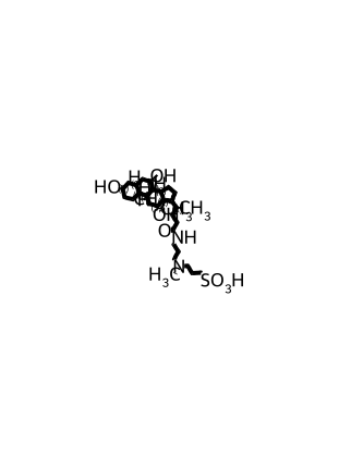 C[C@H](CCC(=O)NCCCN(C)CCCS(=O)(=O)O)C1CC[C@H]2[C@@H]3[C@H](O)C[C@@H]4C[C@H](O)CC[C@]4(C)[C@H]3C[C@H](O)[C@]12C